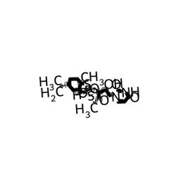 C=C(C)[C@@H]1CC[C@]2(C)S[P@@](=S)(O[C@H]3[C@@H](O)[C@H](n4ccc(=O)[nH]c4=O)O[C@@H]3CC)O[C@H]2C1